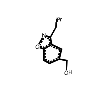 CC(C)Cc1noc2ccc(CO)cc12